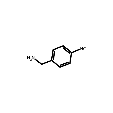 [C-]#[N+]c1ccc(CN)cc1